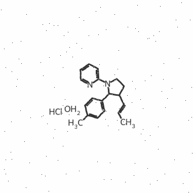 CC=CC1CCN(c2ccccn2)C1c1ccc(C)cc1.Cl.O